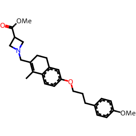 COC(=O)C1CN(CC2=C(C)c3ccc(OCCCc4ccc(OC)cc4)cc3CC2)C1